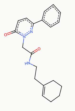 O=C(Cn1nc(-c2ccccc2)ccc1=O)NCCC1=CCCCC1